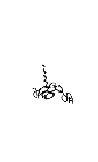 CCCCCCCCc1cc(C(O)CC)cc2c(=O)c3cc(C(=O)O)ccc3oc12